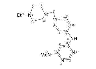 CCN1CCN(Cc2ccc(Nc3cc(NC)ncn3)cc2)CC1